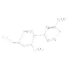 CNc1cncc(-c2ccc(OC(F)(F)F)cc2OC)n1